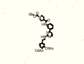 COc1ccc(CCNc2nccc(-c3cccc(NC(=O)C4CCN(C(=O)OC(C)(C)C)CC4)c3)n2)cc1OC